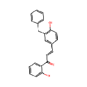 O=C(/C=C/c1ccc(O)c(Cc2ccccc2)c1)c1ccccc1O